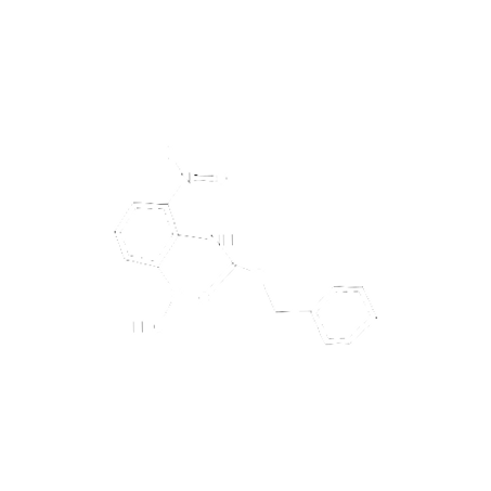 COc1cccc([N+](=O)[O-])c1NC(=O)OCc1ccccc1